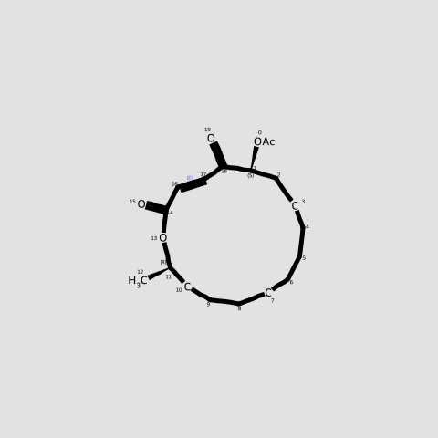 CC(=O)O[C@H]1CCCCCCCCC[C@@H](C)OC(=O)/C=C/C1=O